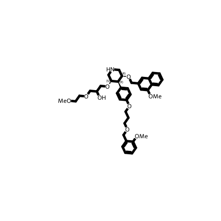 COCCOCC(O)CO[C@@H]1CNC[C@H](OCc2cc(OC)c3ccccc3c2)[C@H]1c1ccc(OCCCOCc2ccccc2OC)cc1